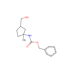 N#CC1(NC(=O)OCc2ccccc2)CCC(CO)C1